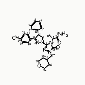 C[C@@H](C(N)=O)n1c(N2C[C@@H](c3ccccc3)C(c3ccc(Cl)cc3)=N2)nn(CC2CCOCC2)c1=O